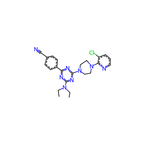 CCN(CC)c1nc(-c2ccc(C#N)cc2)nc(N2CCN(c3ncccc3Cl)CC2)n1